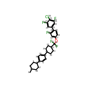 CC1CCC(c2ccc(C3CCC(C(F)(F)Oc4ccc(-c5cc(F)c(Cl)c(F)c5)c(F)c4)CC3)cc2)CC1